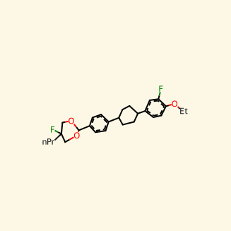 CCCC1(F)COC(c2ccc(C3CCC(c4ccc(OCC)c(F)c4)CC3)cc2)OC1